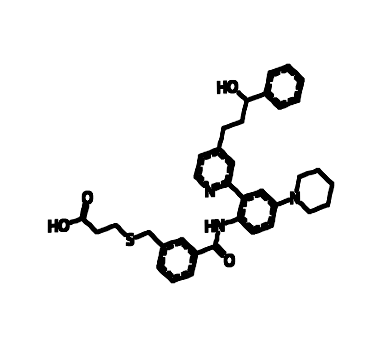 O=C(O)CCSCc1cccc(C(=O)Nc2ccc(N3CCCCC3)cc2-c2cc(CCC(O)c3ccccc3)ccn2)c1